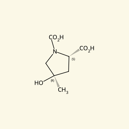 C[C@@]1(O)C[C@@H](C(=O)O)N(C(=O)O)C1